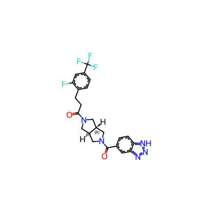 O=C(CCc1ccc(C(F)(F)F)cc1F)N1C[C@@H]2CN(C(=O)c3ccc4[nH]nnc4c3)C[C@H]2C1